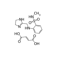 CNS(=O)(=O)c1ccccc1NCC1=NCCN1.O=C(O)/C=C/C(=O)O